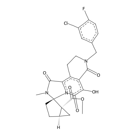 COC(=O)[C@]12C[C@H]1CC[C@]21N(C)C(=O)c2c3c(c(O)c(=O)n21)C(=O)N(Cc1ccc(F)c(Cl)c1)CC3